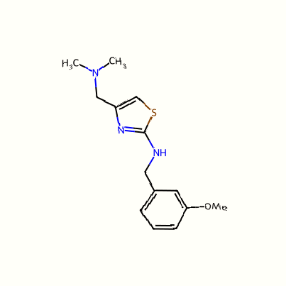 COc1cccc(CNc2nc(CN(C)C)cs2)c1